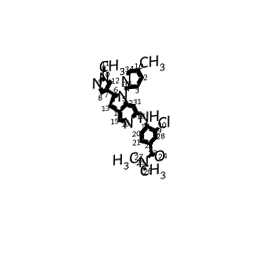 Cc1ccc(-n2c(-c3cnn(C)c3)cc3cnc(Nc4ccc(C(=O)N(C)C)cc4Cl)cc32)nc1